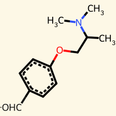 CC(COc1ccc([C]=O)cc1)N(C)C